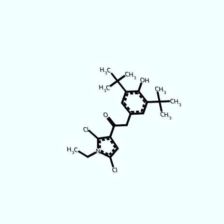 CCn1c(Cl)cc(C(=O)Cc2cc(C(C)(C)C)c(O)c(C(C)(C)C)c2)c1Cl